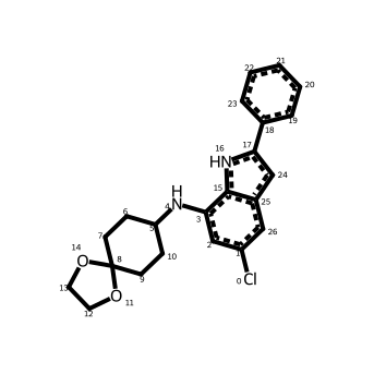 Clc1cc(NC2CCC3(CC2)OCCO3)c2[nH]c(-c3ccccc3)cc2c1